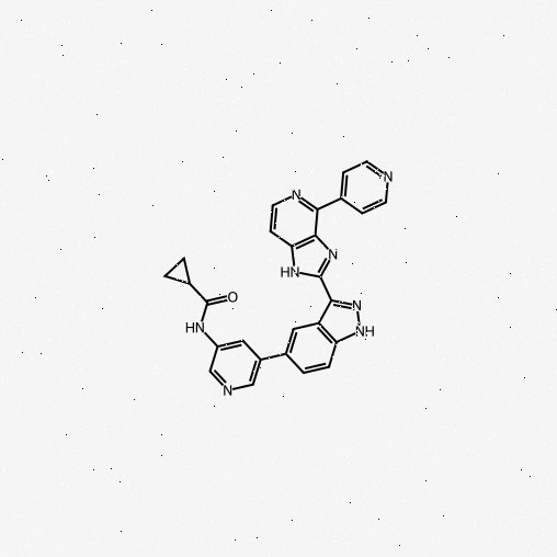 O=C(Nc1cncc(-c2ccc3[nH]nc(-c4nc5c(-c6ccncc6)nccc5[nH]4)c3c2)c1)C1CC1